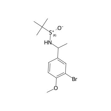 COc1ccc(C(C)N[S@@+]([O-])C(C)(C)C)cc1Br